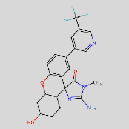 CN1C(=O)C2(N=C1N)c1cc(-c3cncc(C(F)(F)F)c3)ccc1OC1CC(O)CCC12